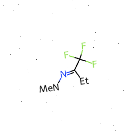 CC/C(=N\NC)C(F)(F)F